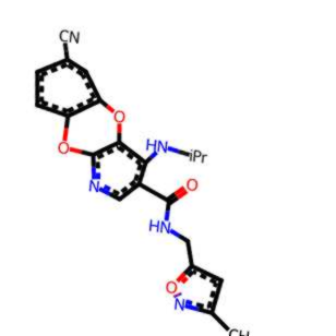 Cc1cc(CNC(=O)c2cnc3c(c2NC(C)C)Oc2cc(C#N)ccc2O3)on1